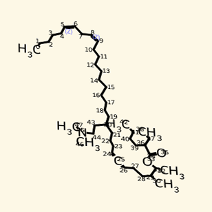 CCCCC/C=C\C/C=C\CCCCCCCCCCC(CCCC=C=CCCC(C)C(C)OC(=O)C(CC)CCCC)CCN(C)C